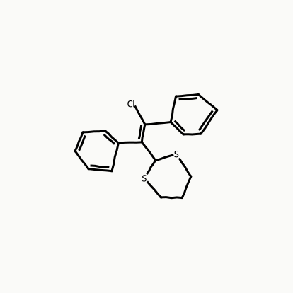 ClC(=C(c1ccccc1)C1SCCCS1)c1ccccc1